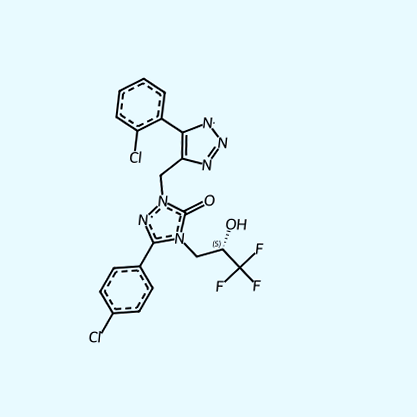 O=c1n(CC2=C(c3ccccc3Cl)[N]N=N2)nc(-c2ccc(Cl)cc2)n1C[C@H](O)C(F)(F)F